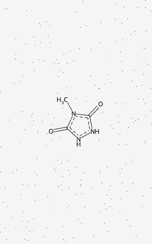 Cn1c(=O)[nH][nH]c1=O